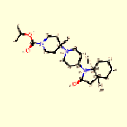 CC(C)OC(=O)N1CCC(C)(N2CCC(N3C(=O)C[C@H]4CCCC[C@@H]43)CC2)CC1